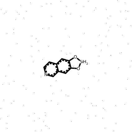 c1cc2cc3c(cc2cn1)O[SiH2]O3